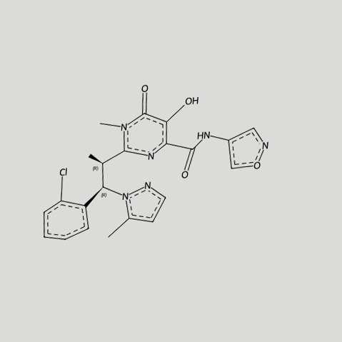 Cc1ccnn1[C@@H](c1ccccc1Cl)[C@@H](C)c1nc(C(=O)Nc2cnoc2)c(O)c(=O)n1C